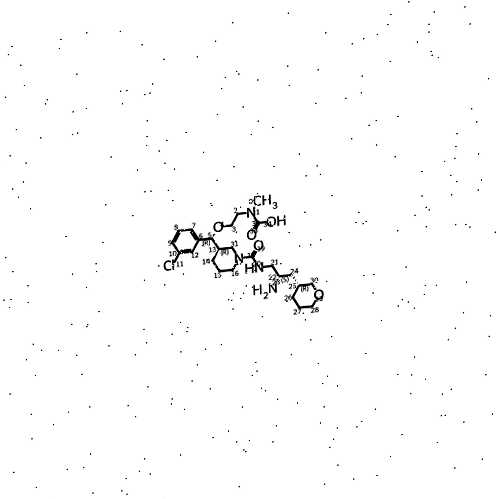 CN(CCO[C@@H](c1cccc(Cl)c1)[C@@H]1CCCN(C(=O)NC[C@@H](N)C[C@H]2CCCOC2)C1)C(=O)O